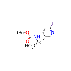 CC(C)(C)OC(=O)N[C@@H](Cc1ccc(I)nc1)C(=O)O